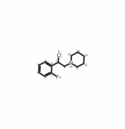 Fc1ccccc1C(Cl)CN1CCCCC1